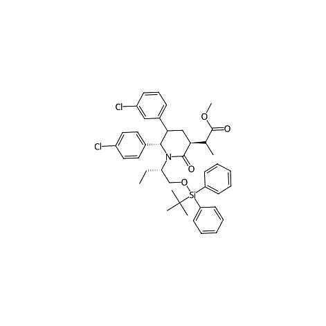 CC[C@@H](CO[Si](c1ccccc1)(c1ccccc1)C(C)(C)C)N1C(=O)[C@H](C(C)C(=O)OC)CC(c2cccc(Cl)c2)[C@H]1c1ccc(Cl)cc1